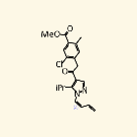 C=C/C=C\n1ncc(C(=O)Cc2cc(C)c(C(=O)OC)cc2Cl)c1C(C)C